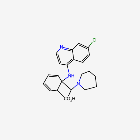 CC(N1CCCCC1)C1(Nc2ccnc3cc(Cl)ccc23)C=CC=CC1C(=O)O